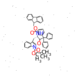 CC(C)(C)OC(=O)n1cc(C[C@H](NC(=O)OCC2c3ccccc3-c3ccccc32)C(=O)C(c2ccccc2)(c2ccccc2)c2ccccc2)c2ccccc21